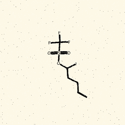 CCCCC(I)OS(=O)(=O)C(F)(F)F